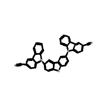 N#Cc1ccc2c(c1)c1ccccc1n2-c1ccc2sc3ccc(-n4c5ccccc5c5cc(C#N)ccc54)cc3c2c1